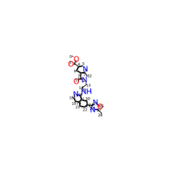 COC(=O)c1cnc2c(c1)C(=O)N(CCNc1nccc3ccc(-c4noc(C)n4)cc13)C2